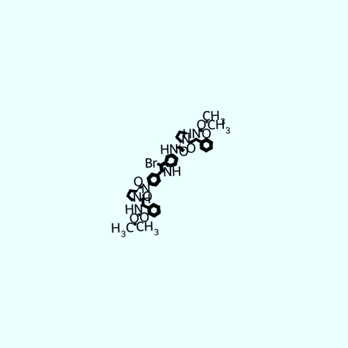 CC(C)OC(=O)N[C@@H](C(=O)N1CCC[C@H]1C(=O)Nc1ccc(-c2[nH]c3ccc(NC(=O)[C@@H]4CCCN4C(=O)[C@H](NC(=O)OC(C)C)c4ccccc4)cc3c2Br)cc1)c1ccccc1